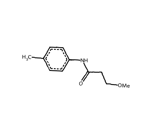 COCCC(=O)Nc1ccc(C)cc1